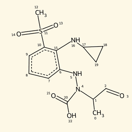 CC(C=O)N(Nc1cccc(S(C)(=O)=O)c1NC1CC1)C(=O)O